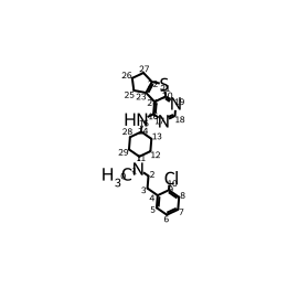 CN(CCc1ccccc1Cl)[C@H]1CC[C@H](Nc2ncnc3sc4c(c23)CCC4)CC1